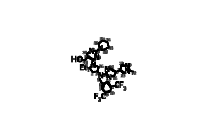 CC[C@@H]1CC(N(Cc2cc(C(F)(F)F)cc(C(F)(F)F)c2)c2ncc(-c3cnn(C)c3)cn2)CN1c1nc(N2CCCCC2)ncc1CO